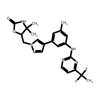 Cc1cc(Nc2nccc(C(C)(F)F)n2)cc(-c2cnn(CC3OC(=O)NC3(C)C)c2)c1